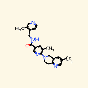 Cc1cnccc1CNC(=O)c1cnc(N2CCc3ncc(C(F)(F)F)cc3C2)c(C)c1